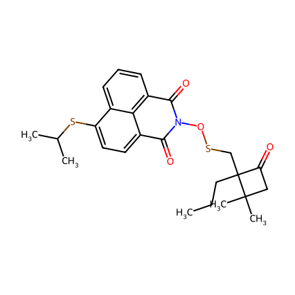 CCCC1(CSON2C(=O)c3cccc4c(SC(C)C)ccc(c34)C2=O)C(=O)CC1(C)C